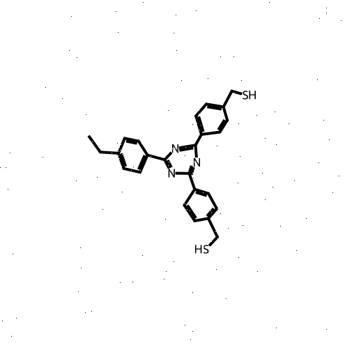 CCc1ccc(-c2nc(-c3ccc(CS)cc3)nc(-c3ccc(CS)cc3)n2)cc1